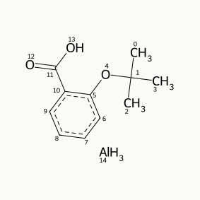 CC(C)(C)Oc1ccccc1C(=O)O.[AlH3]